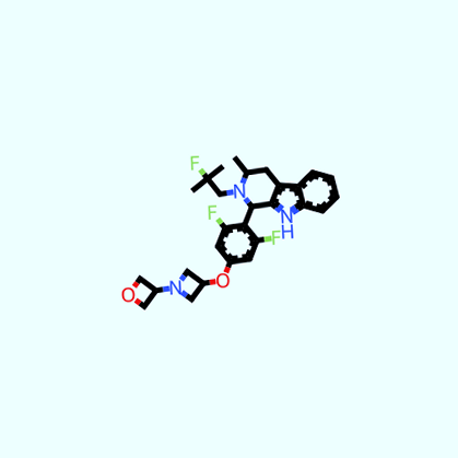 CC1Cc2c([nH]c3ccccc23)C(c2c(F)cc(OC3CN(C4COC4)C3)cc2F)N1CC(C)(C)F